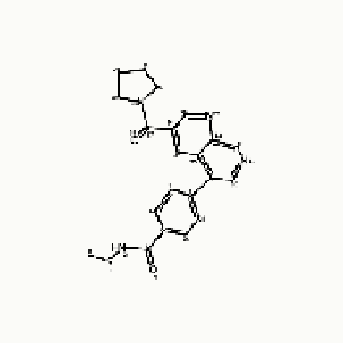 CSNC(=O)c1ccc(-c2cncc3ncc(C(=O)N4CCCC4)cc23)cc1